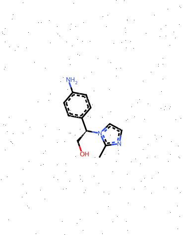 Cc1nccn1[C@@H](CO)c1ccc(N)cc1